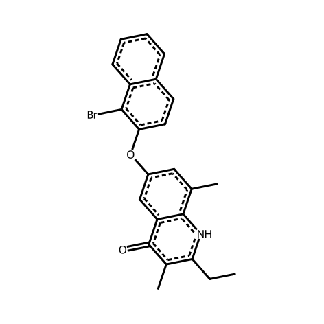 CCc1[nH]c2c(C)cc(Oc3ccc4ccccc4c3Br)cc2c(=O)c1C